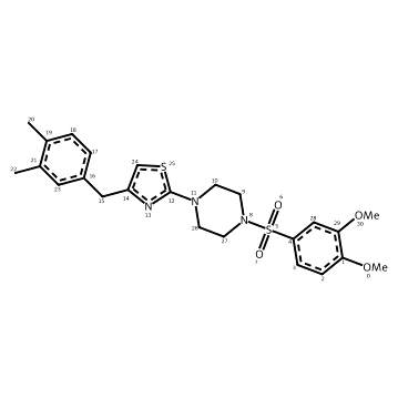 COc1ccc(S(=O)(=O)N2CCN(c3nc(Cc4ccc(C)c(C)c4)cs3)CC2)cc1OC